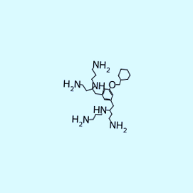 NCCCNC(CCN)Cc1cc(CC(CCN)NCCCN)cc(OCC2CCCCC2)c1